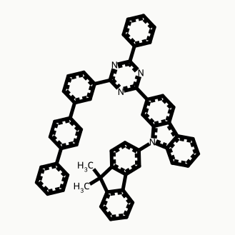 CC1(C)c2ccccc2-c2cc(-n3c4ccccc4c4ccc(-c5nc(-c6ccccc6)nc(-c6cccc(-c7ccc(-c8ccccc8)cc7)c6)n5)cc43)ccc21